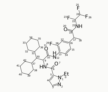 CCn1nccc1C(=O)NC(C(=O)Nc1ccc(C(C)C(=O)NC(F)C(F)F)cc1F)C(C1CCCCC1)C1CCCCC1